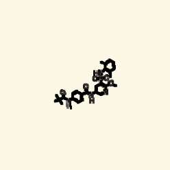 COc1ncc(NC(=O)c2ccc(NC(=O)C(C)(C)C)cc2)cc1S(=O)(=O)Nc1c(C)cccc1C